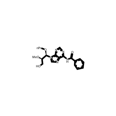 CCCO[C@H]([C@@H](CO)OC)n1cnc2c(NC(=O)c3ccccc3)ncnc21